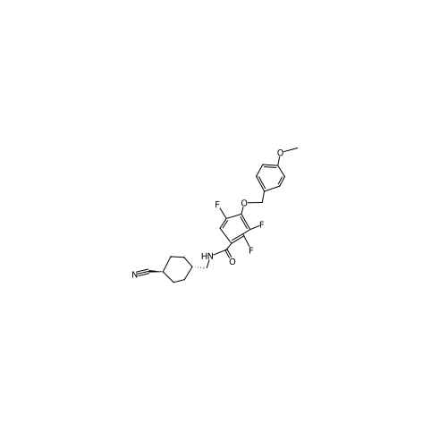 COc1ccc(COc2c(F)cc(C(=O)NC[C@H]3CC[C@H](C#N)CC3)c(F)c2F)cc1